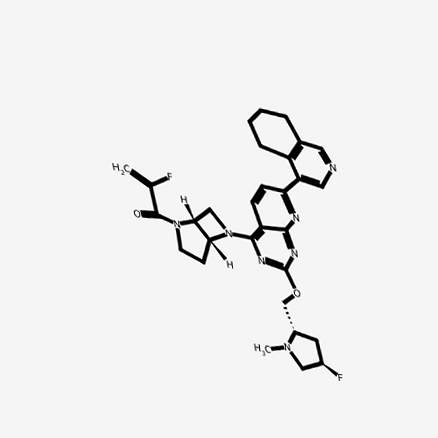 C=C(F)C(=O)N1CC[C@@H]2[C@H]1CN2c1nc(OC[C@@H]2C[C@@H](F)CN2C)nc2nc(-c3cncc4c3CCCC4)ccc12